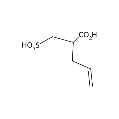 C=CCC(CS(=O)(=O)O)C(=O)O